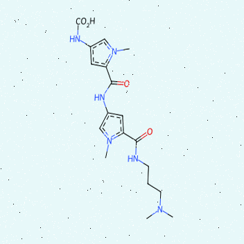 CN(C)CCCNC(=O)c1cc(NC(=O)c2cc(NC(=O)O)cn2C)cn1C